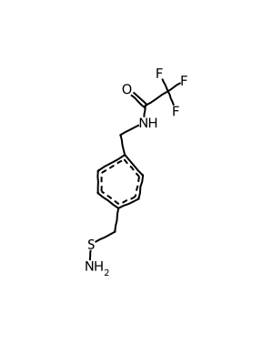 NSCc1ccc(CNC(=O)C(F)(F)F)cc1